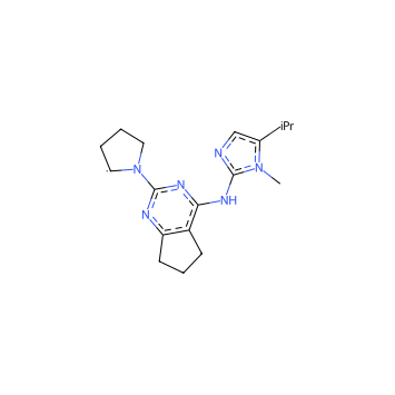 CC(C)c1cnc(Nc2nc(N3[CH]CCC3)nc3c2CCC3)n1C